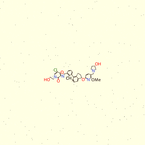 COc1nc(O[C@H]2CCc3c(-c4cccc(-c5nc6c(=O)n(CCO)cc(Cl)c6o5)c4C)cccc32)ccc1CN1CC[C@@H](O)C1